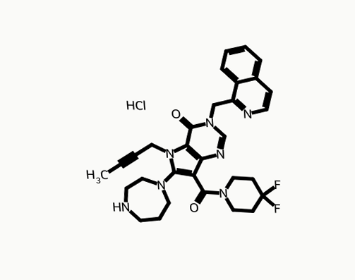 CC#CCn1c(N2CCCNCC2)c(C(=O)N2CCC(F)(F)CC2)c2ncn(Cc3nccc4ccccc34)c(=O)c21.Cl